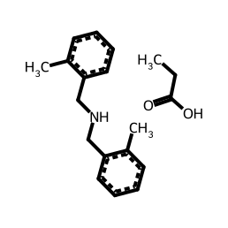 CCC(=O)O.Cc1ccccc1CNCc1ccccc1C